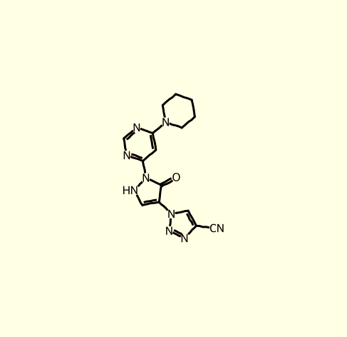 N#Cc1cn(-c2c[nH]n(-c3cc(N4CCCCC4)ncn3)c2=O)nn1